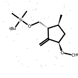 C=C1[C@H](OC=O)C[C@H](C)[C@H]1CO[Si](C)(C)C(C)(C)C